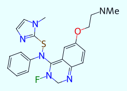 CNCCOc1ccc2c(c1)=C(N(Sc1nccn1C)c1ccccc1)N(F)CN=2